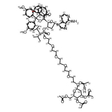 COc1ccc(C(OC(C(=O)c2ccccc2)[C@H]2O[C@@H](n3cnc4c(N)ncnc43)C[C@@H]2OP(=O)(OCCOCCOCCOCCOCCO[C@@H]2O[C@H](COC(C)=O)[C@H](OC(C)=O)[C@H](OC(C)=O)[C@H]2NC(C)=O)N(C(C)C)C(C)C)(c2ccccc2)c2ccc(OC)cc2)cc1